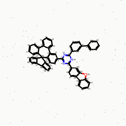 c1ccc(-c2cccc(-c3nc(-c4ccc5c(c4)-c4ccccc4-c4ccccc4C54c5ccccc5-c5ccccc54)nc(-c4ccc5c(c4)oc4ccccc45)n3)c2)cc1